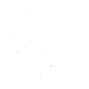 CN1C[C@H](NC(=O)OCc2ccccc2)C(=O)N(C)CC(=O)N2C[C@@H](NC(=O)Cc3c[nH]c4ccccc34)C[C@H]2COc2cccc(c2)C1=O